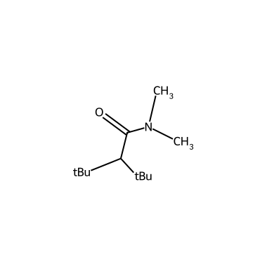 CN(C)C(=O)C(C(C)(C)C)C(C)(C)C